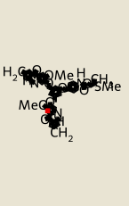 C=C1C[C@H]2C=Nc3cc(OCc4cc(COc5cc6c(cc5OC)C(=O)N5CC(=C)C[C@H]5C=N6)cc(OCc5ccc(NC(=O)OC[C@@H](C)SC)cc5)c4)c(OC)cc3C(=O)N2C1